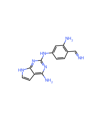 N=Cc1ccc(Nc2nc(N)c3cc[nH]c3n2)cc1N